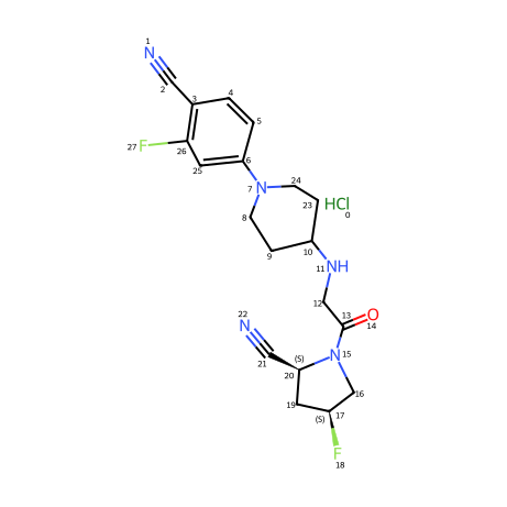 Cl.N#Cc1ccc(N2CCC(NCC(=O)N3C[C@@H](F)C[C@H]3C#N)CC2)cc1F